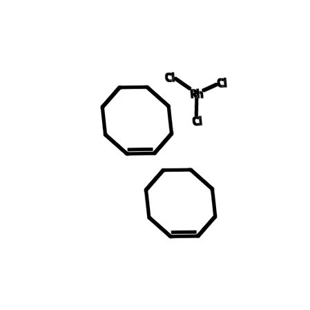 C1=CCCCCCC1.C1=CCCCCCC1.[Cl][Rh]([Cl])[Cl]